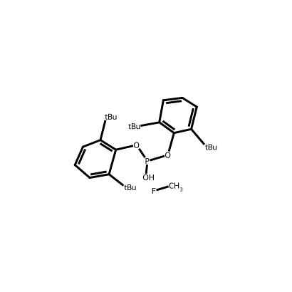 CC(C)(C)c1cccc(C(C)(C)C)c1OP(O)Oc1c(C(C)(C)C)cccc1C(C)(C)C.CF